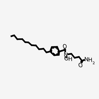 CCCCCCCCCCCc1ccc(C(=O)N(O)CCCC(N)=O)cc1